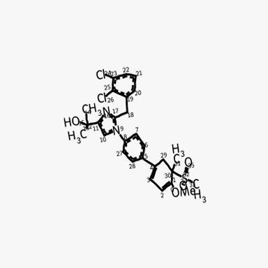 COC1=CC=C(c2ccc(-n3cc(C(C)(C)O)nc3Cc3cccc(Cl)c3Cl)cc2)CC1(C)S(C)(=O)=O